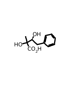 CC(O)(C(=O)O)[C@@H](O)Cc1ccccc1